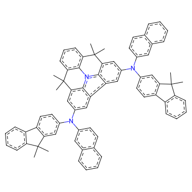 CC1(C)c2ccccc2-c2ccc(N(c3ccc4ccccc4c3)c3cc4c5c(c3)c3cc(N(c6ccc7c(c6)C(C)(C)c6ccccc6-7)c6ccc7ccccc7c6)cc6c3n5-c3c(cccc3C6(C)C)C4(C)C)cc21